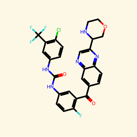 O=C(Nc1ccc(F)c(C(=O)c2ccc3nc(C4COCCN4)cnc3c2)c1)Nc1ccc(Cl)c(C(F)(F)F)c1